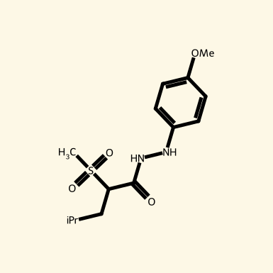 COc1ccc(NNC(=O)C(CC(C)C)S(C)(=O)=O)cc1